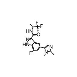 Cc1ncc(-c2cc(F)c3[nH]nc(C(=O)N[C@@H](C)C(F)(F)F)c3c2)n1C